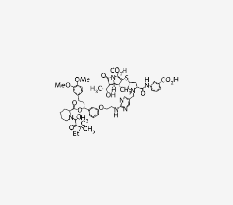 CCC(C)(C)C(=O)C(=O)N1CCCC[C@H]1C(=O)O[C@H](CCc1ccc(OC)c(OC)c1)c1cccc(OCCNc2ncc(CN3C[C@@H](SC4=C(C(=O)O)N5C(=O)[C@H]([C@@H](C)O)[C@H]5[C@H]4C)C[C@H]3C(=O)Nc3cccc(C(=O)O)c3)cn2)c1